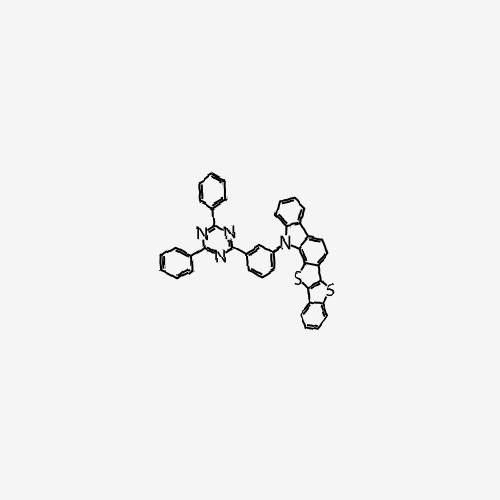 c1ccc(-c2nc(-c3ccccc3)nc(-c3cccc(-n4c5ccccc5c5ccc6c7sc8ccccc8c7sc6c54)c3)n2)cc1